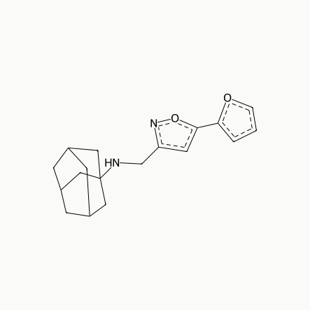 c1coc(-c2cc(CNC34CC5CC(CC(C5)C3)C4)no2)c1